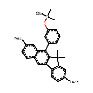 COc1ccc2c(c1)C(C)(C)c1c-2cc2ccc(OC)cc2c1-c1cccc(O[Si](C)(C)C(C)(C)C)c1